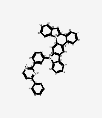 c1ccc(-c2ccnc(-c3cccc(-n4c5ccccc5c5cc6c7ccccc7c7cc8ccccc8n7c6cc54)c3)n2)cc1